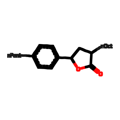 CCCCCCCCC1CC(c2ccc(CCCCC)cc2)OC1=O